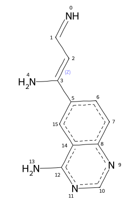 N=C/C=C(\N)c1ccc2ncnc(N)c2c1